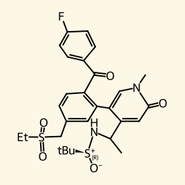 CCS(=O)(=O)Cc1ccc(C(=O)c2ccc(F)cc2)c(-c2cn(C)c(=O)cc2C(C)N[S@@+]([O-])C(C)(C)C)c1